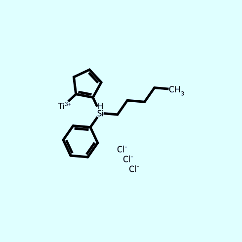 CCCCC[SiH](C1=[C]([Ti+3])CC=C1)c1ccccc1.[Cl-].[Cl-].[Cl-]